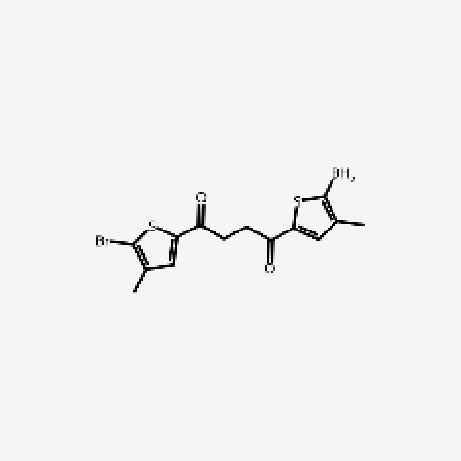 Bc1sc(C(=O)CCC(=O)c2cc(C)c(Br)s2)cc1C